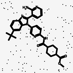 COC(=O)C1CCC(C(=O)Nc2ccc(-n3c(-c4cccnc4N)nc4ccc(C(C)(C)C)cc43)cn2)CC1